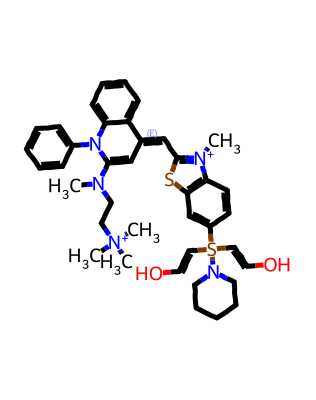 CN(CC[N+](C)(C)C)C1=C/C(=C\c2sc3cc(S(C=CO)(C=CO)N4CCCCC4)ccc3[n+]2C)c2ccccc2N1c1ccccc1